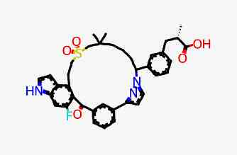 C[C@@H](Cc1cccc(C2CCCC(C)(C)CS(=O)(=O)CCc3c(c(F)cc4[nH]ccc34)C(=O)c3cccc(c3)-c3ccn2n3)c1)C(=O)O